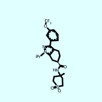 CC(C)n1nc(-c2cccc(OC(F)(F)F)c2)c2c1C[C@H](C(=O)NC1(C)CCS(=O)(=O)CC1)CC2